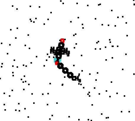 CC1CCC(C2CCC(c3ccc(OC(F)(F)C4CCC(C(C)(C)C(C)(C)C5CCC(=O)CC5)CC4)cc3)CC2)CC1